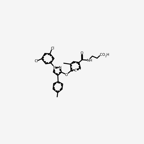 Cc1ccc(-c2cn(-c3cc(Cl)cc(Cl)c3)nc2Oc2ccc(C(=O)NCCC(=O)O)cc2C)cc1